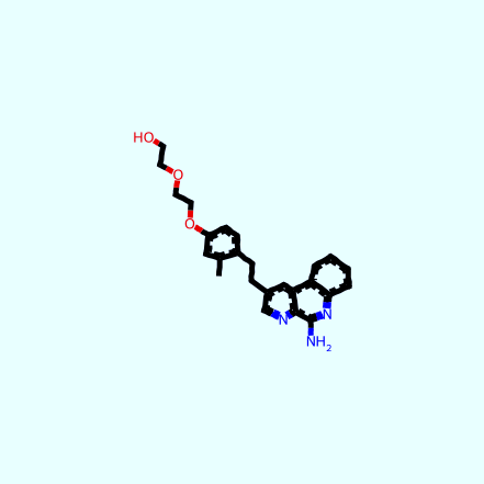 Cc1cc(OCCOCCO)ccc1CCc1cnc2c(N)nc3ccccc3c2c1